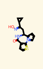 O=C1NC(CC(=NO)C2CC2)c2cccn2-c2sccc21